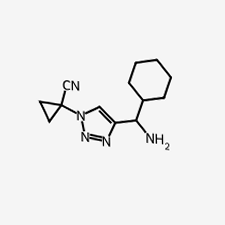 N#CC1(n2cc(C(N)C3CCCCC3)nn2)CC1